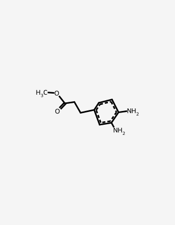 COC(=O)CCc1ccc(N)c(N)c1